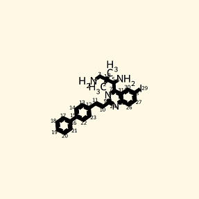 CC(C)(CN)C(N)c1nc(C=Cc2ccc(-c3ccccc3)cc2)nc2ccc(I)cc12